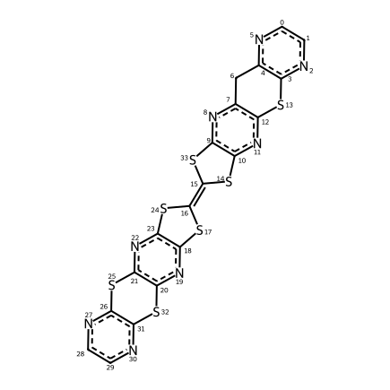 c1cnc2c(n1)Cc1nc3c(nc1S2)SC(=C1Sc2nc4c(nc2S1)Sc1nccnc1S4)S3